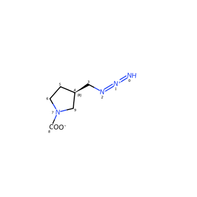 N=[N+]=NC[C@@H]1CCN(C(=O)[O-])C1